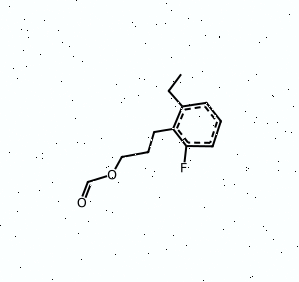 CCc1cccc(F)c1CCCOC=O